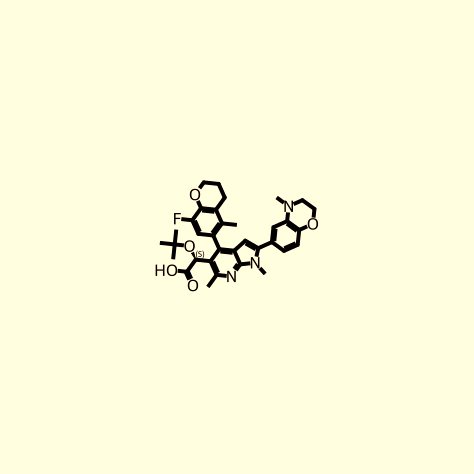 Cc1nc2c(cc(-c3ccc4c(c3)N(C)CCO4)n2C)c(-c2cc(F)c3c(c2C)CCCO3)c1[C@H](OC(C)(C)C)C(=O)O